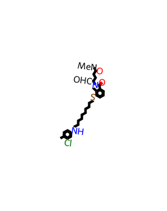 CNC(=O)CCC(C=O)N1Cc2c(SCCCCCCCCCCNc3ccc(C)c(Cl)c3)cccc2C1=O